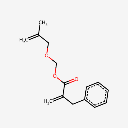 C=C(C)COCOC(=O)C(=C)Cc1ccccc1